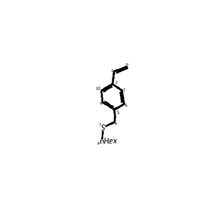 C=Cc1ccc(CSCCCCCC)cc1